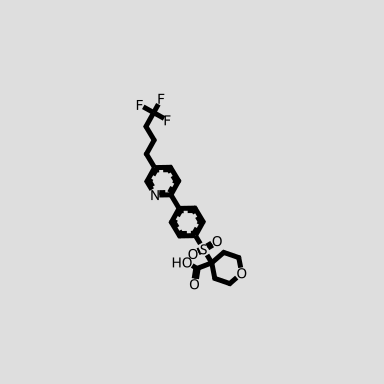 O=C(O)C1(S(=O)(=O)c2ccc(-c3ccc(CCCC(F)(F)F)cn3)cc2)CCOCC1